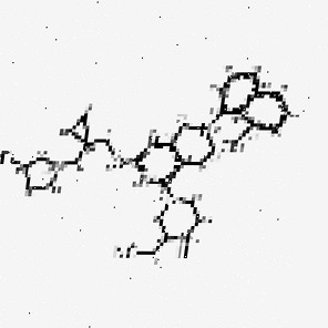 N#CC[C@H]1CN(c2nc(OCC3(CN4CC[C@@H](F)C4)CC3)nc3c2CCN(c2cccc4cccc(Cl)c24)C3)CCN1